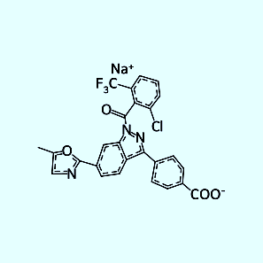 Cc1cnc(-c2ccc3c(-c4ccc(C(=O)[O-])cc4)nn(C(=O)c4c(Cl)cccc4C(F)(F)F)c3c2)o1.[Na+]